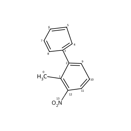 Cc1c(-c2cc[c]cc2)cccc1[N+](=O)[O-]